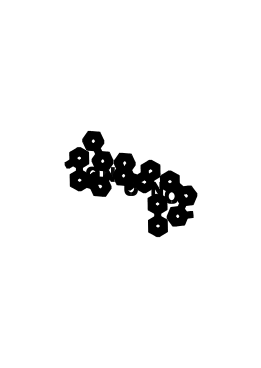 Cc1ccccc1-c1cccc2c1oc1c(N(c3ccc(-c4ccccc4)cc3)c3cc4oc5cc(N(c6ccc(-c7ccccc7)cc6)c6cccc7c6oc6c(-c8ccccc8C)cccc67)c6ccccc6c5c4c4ccccc34)cccc12